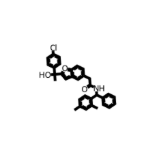 Cc1ccc(C(NC(=O)Cc2ccc3oc(C(C)(O)c4ccc(Cl)cc4)cc3c2)c2ccccc2)c(C)c1